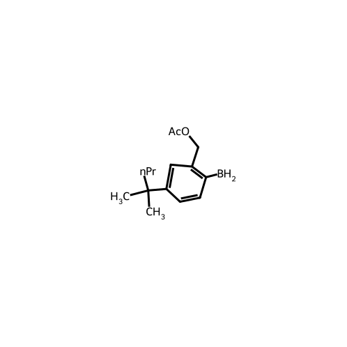 Bc1ccc(C(C)(C)CCC)cc1COC(C)=O